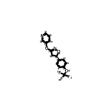 FC(F)(F)Oc1ccc([C@H]2CC(Oc3cccnc3)=NO2)cc1